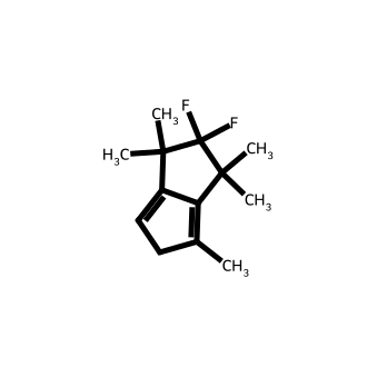 CC1=C2C(=CC1)C(C)(C)C(F)(F)C2(C)C